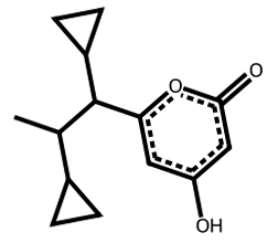 CC(C1CC1)C(c1cc(O)cc(=O)o1)C1CC1